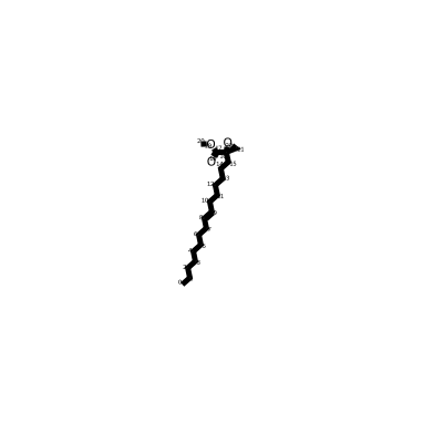 CCCCCCCCC=CCCCCCCC1(C(=O)OC)CO1